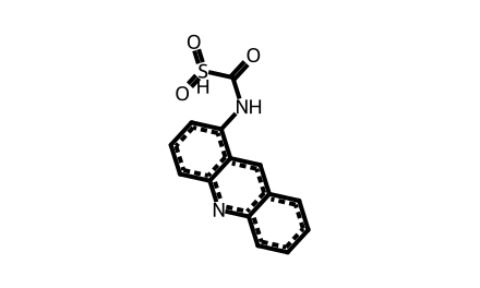 O=C(Nc1cccc2nc3ccccc3cc12)[SH](=O)=O